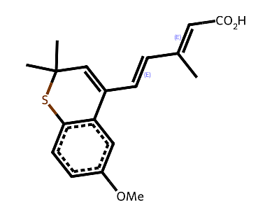 COc1ccc2c(c1)C(/C=C/C(C)=C/C(=O)O)=CC(C)(C)S2